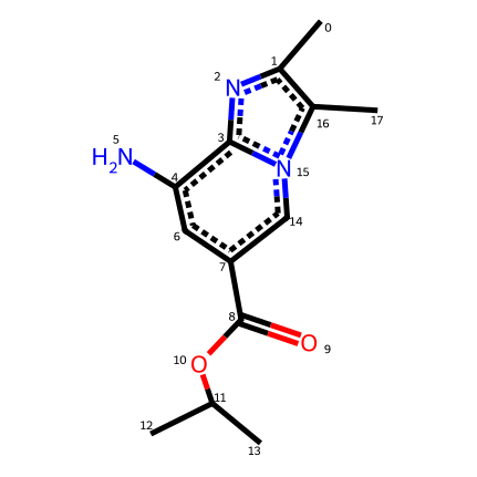 Cc1nc2c(N)cc(C(=O)OC(C)C)cn2c1C